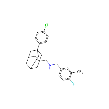 Fc1ccc(CNCC23CC4CC(C2)CC(c2ccc(Cl)cc2)(C4)C3)cc1C(F)(F)F